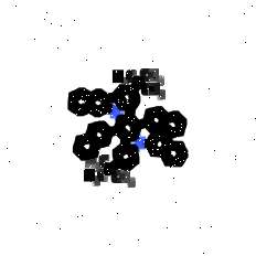 CC(C)(C)c1ccc2c(c1)c1c(-c3ccc4ccccc4c3)c3c(c(-c4ccc5ccccc5c4)c1n2-c1ccc2ccccc2c1)c1cc(C(C)(C)C)cc2c4cc5ccccc5cc4n3c21